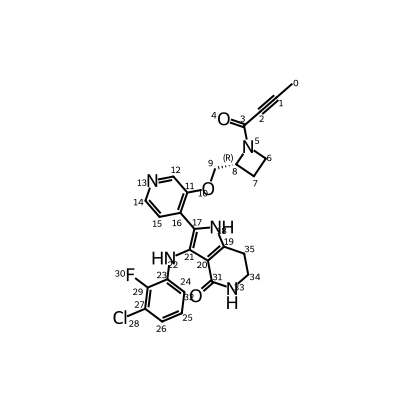 CC#CC(=O)N1CC[C@@H]1COc1cnccc1-c1[nH]c2c(c1Nc1cccc(Cl)c1F)C(=O)NCC2